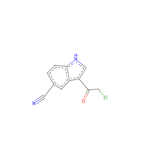 N#Cc1ccc2[nH]cc(C(=O)CCl)c2c1